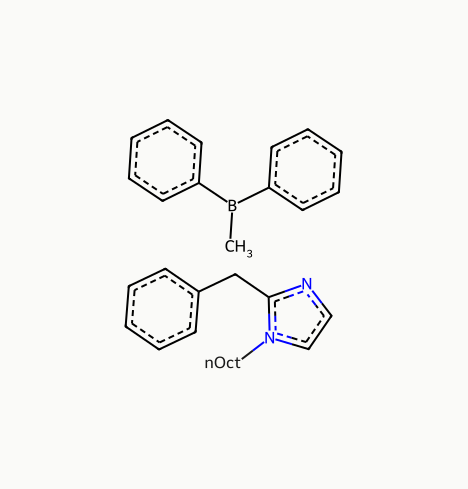 CB(c1ccccc1)c1ccccc1.CCCCCCCCn1ccnc1Cc1ccccc1